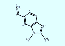 C=Cc1ncc2nc(C)n(CCC)c2n1